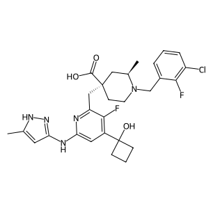 Cc1cc(Nc2cc(C3(O)CCC3)c(F)c(C[C@@]3(C(=O)O)CCN(Cc4cccc(Cl)c4F)[C@H](C)C3)n2)n[nH]1